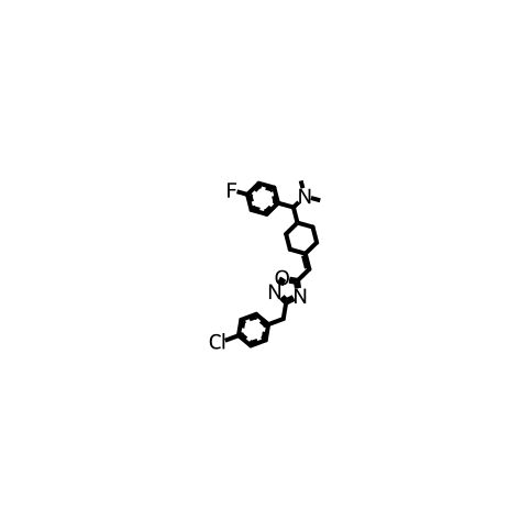 CN(C)C(c1ccc(F)cc1)C1CCC(=Cc2nc(Cc3ccc(Cl)cc3)no2)CC1